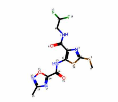 CSc1nc(C(=O)NCC(F)F)c(NC(=O)c2nc(C)no2)s1